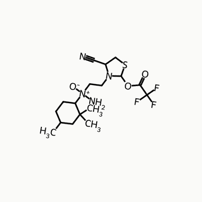 CC1CCC([N+](N)([O-])CCN2C(C#N)CSC2OC(=O)C(F)(F)F)C(C)(C)C1